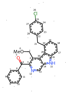 COCc1c(C(=O)c2ccccc2)ncc2[nH]c3cccc(Cc4ccc(Cl)cc4)c3c12